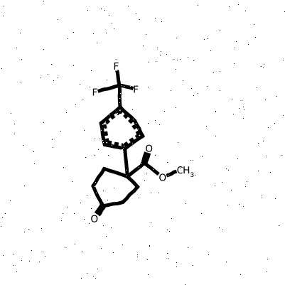 COC(=O)C1(c2ccc(C(F)(F)F)cc2)CCC(=O)CC1